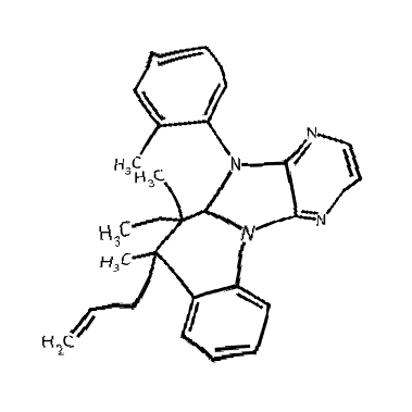 C=CCC1(C)c2ccccc2N2c3nccnc3N(c3ccccc3C)C2C1(C)C